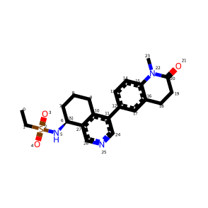 CCS(=O)(=O)N[C@H]1CCCc2c(-c3ccc4c(c3)CCC(=O)N4C)cncc21